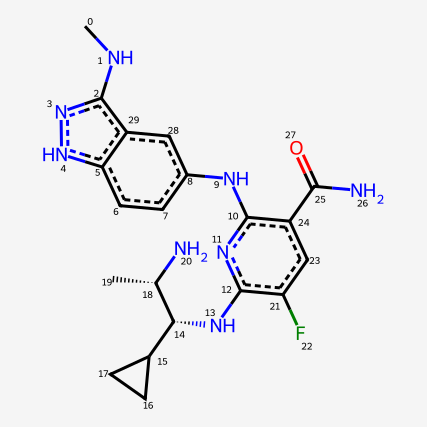 CNc1n[nH]c2ccc(Nc3nc(N[C@H](C4CC4)[C@H](C)N)c(F)cc3C(N)=O)cc12